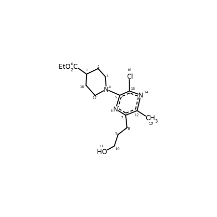 CCOC(=O)C1CCN(c2nc(CCCO)c(C)nc2Cl)CC1